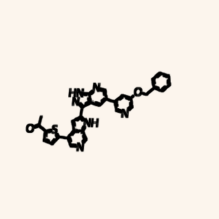 CC(=O)c1ccc(-c2cncc3[nH]c(-c4n[nH]c5ncc(-c6cncc(OCc7ccccc7)c6)cc45)cc23)s1